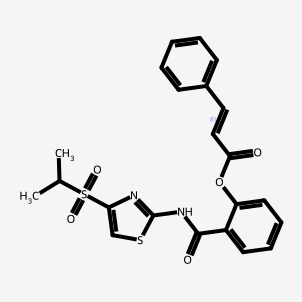 CC(C)S(=O)(=O)c1csc(NC(=O)c2ccccc2OC(=O)/C=C/c2ccccc2)n1